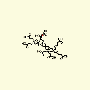 O=C(O)CCOCC(COCCC(=O)O)(COCCC(=O)O)COCC(COCCC(=O)O)(COCCC(=O)O)COOC(COCCC(=O)O)(COCCC(=O)O)OOCCC(=O)O